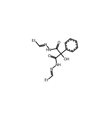 CC/C=N/NC(=O)C(O)(C(=O)N/N=C/CC)c1ccccc1